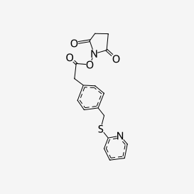 O=C(Cc1ccc(CSc2ccccn2)cc1)ON1C(=O)CCC1=O